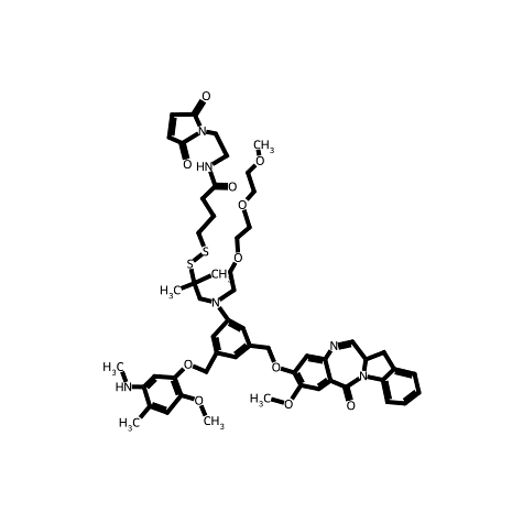 CNc1cc(OCc2cc(COc3cc4c(cc3OC)C(=O)N3c5ccccc5CC3C=N4)cc(N(CCOCCOCCOC)CC(C)(C)SSCCCC(=O)NCCN3C(=O)C=CC3=O)c2)c(OC)cc1C